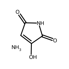 N.O=C1C=C(O)C(=O)N1